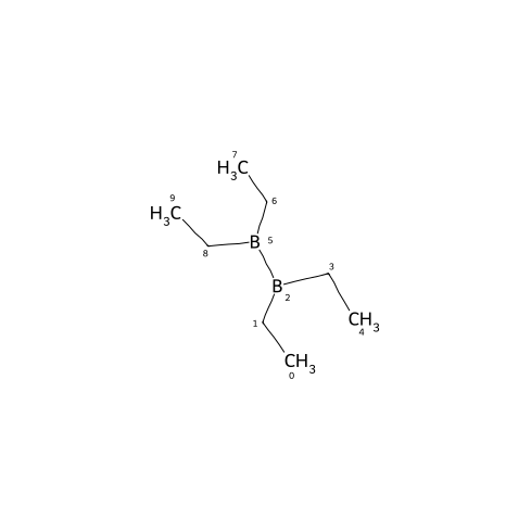 CCB(CC)B(CC)CC